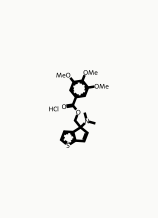 COc1cc(C(=O)OCC2(N(C)C)C=Cc3sccc32)cc(OC)c1OC.Cl